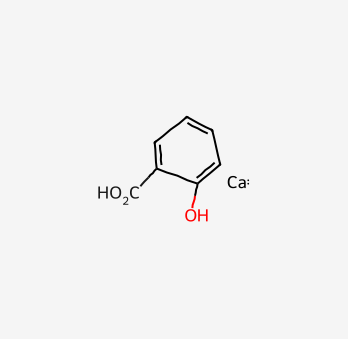 O=C(O)c1ccccc1O.[Ca]